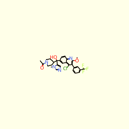 COc1nc2ccc(C(O)(c3cncn3C)C3CCN(C(C)=O)CC3)cc2c(Cl)c1-c1cccc(C(F)(F)F)c1